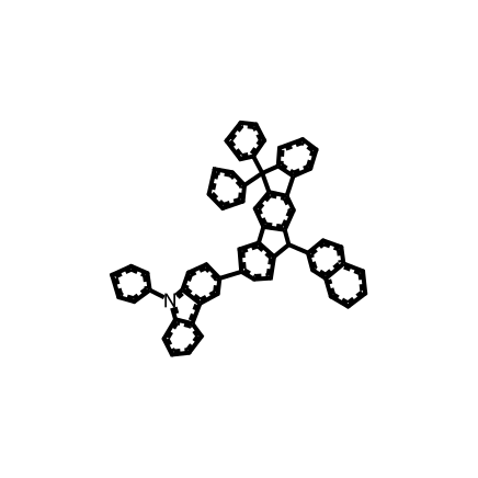 c1ccc(-n2c3ccccc3c3cc(-c4ccc5c(c4)-c4cc6c(cc4C5c4ccc5ccccc5c4)-c4ccccc4C6(c4ccccc4)c4ccccc4)ccc32)cc1